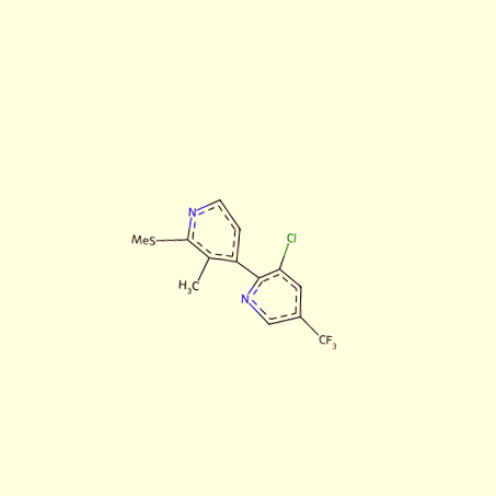 CSc1nccc(-c2ncc(C(F)(F)F)cc2Cl)c1C